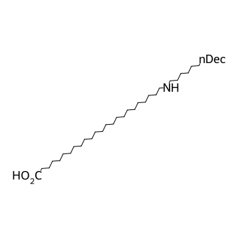 CCCCCCCCCCCCCCCCNCCCCCCCCCCCCCCCCCCCCCCCC(=O)O